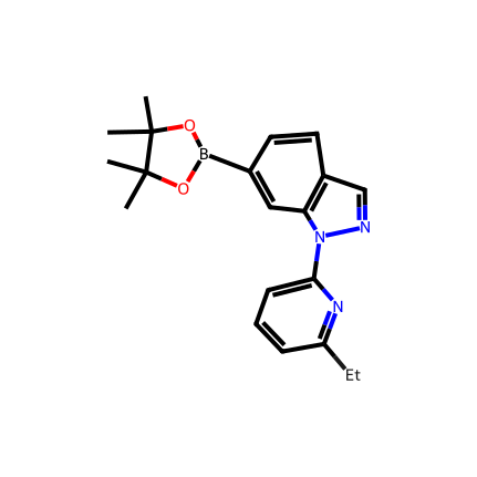 CCc1cccc(-n2ncc3ccc(B4OC(C)(C)C(C)(C)O4)cc32)n1